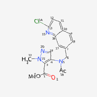 COC(=O)c1c(N(Cc2ccc3ccc(Cl)nc3c2)C(C)=O)cnn1C